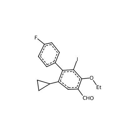 CCOc1c(C=O)cc(C2CC2)c(-c2ccc(F)cc2)c1I